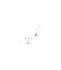 COc1ccc(NS(=O)(=O)c2ccc(NC(=S)NC(=O)c3cc(Br)ccc3C)cc2)cc1